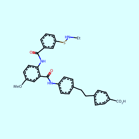 CCNSc1cccc(C(=O)Nc2ccc(OC)cc2C(=O)Nc2ccc(CCc3ccc(C(=O)O)cc3)cc2)c1